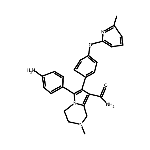 Cc1cccc(Oc2ccc(-c3c(C(N)=O)c4n(c3-c3ccc(N)cc3)CCN(C)C4)cc2)n1